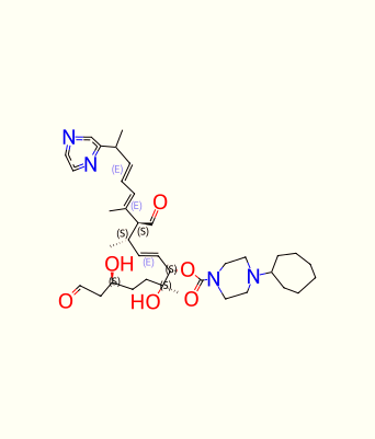 C/C(=C\C=C\C(C)c1cnccn1)[C@@H](C=O)[C@@H](C)/C=C/[C@H](OC(=O)N1CCN(C2CCCCCC2)CC1)[C@@](C)(O)CC[C@H](O)CC=O